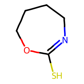 SC1=NCCCCO1